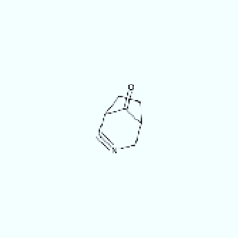 O=C1C2C#[N+]CC1CC2